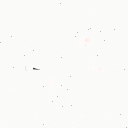 CC[C@H]1C[C@H](O)[C@H](O)CO1